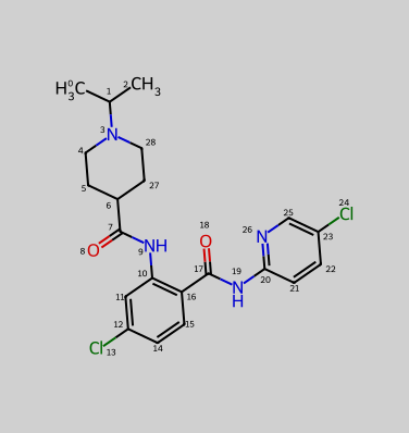 CC(C)N1CCC(C(=O)Nc2cc(Cl)ccc2C(=O)Nc2ccc(Cl)cn2)CC1